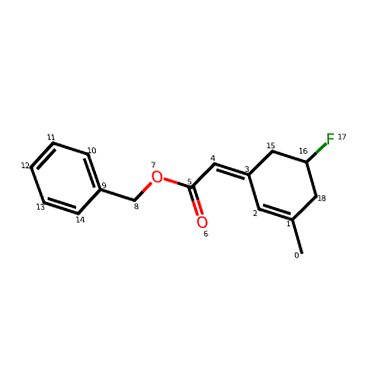 CC1=C/C(=C\C(=O)OCc2ccccc2)CC(F)C1